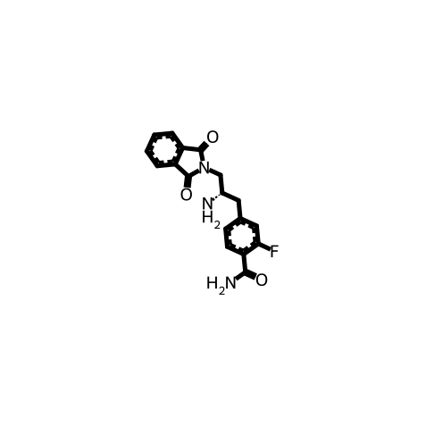 NC(=O)c1ccc(C[C@H](N)CN2C(=O)c3ccccc3C2=O)cc1F